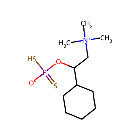 C[N+](C)(C)CC(OP([O-])(=S)S)C1CCCCC1